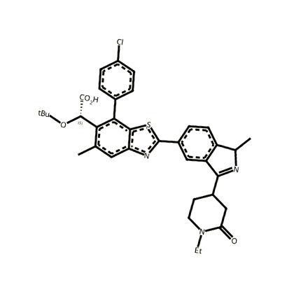 CCN1CCC(C2=NC(C)c3ccc(-c4nc5cc(C)c([C@H](OC(C)(C)C)C(=O)O)c(-c6ccc(Cl)cc6)c5s4)cc32)CC1=O